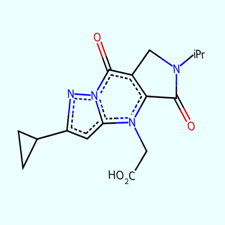 CC(C)N1Cc2c(n(CC(=O)O)c3cc(C4CC4)nn3c2=O)C1=O